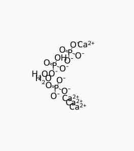 O.O.O=P([O-])([O-])O.O=P([O-])([O-])[O-].O=P([O-])([O-])[O-].[Ca+2].[Ca+2].[Ca+2].[Ca+2]